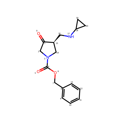 O=C1CN(C(=O)OCc2ccccc2)C[C@@H]1CNC1CC1